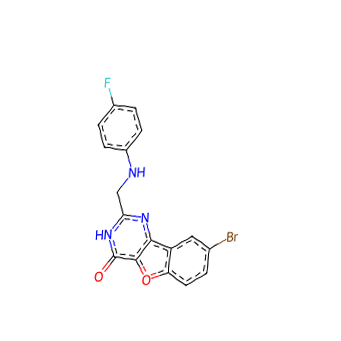 O=c1[nH]c(CNc2ccc(F)cc2)nc2c1oc1ccc(Br)cc12